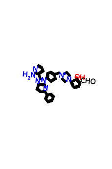 Nc1ncccc1-c1nc2ccc(-c3ccccc3)nc2n1-c1ccc(CN2CCN(c3cccc(C=O)c3O)CC2)cc1